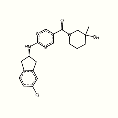 CC1(O)CCCN(C(=O)c2cnc(N[C@@H]3Cc4ccc(Cl)cc4C3)nc2)C1